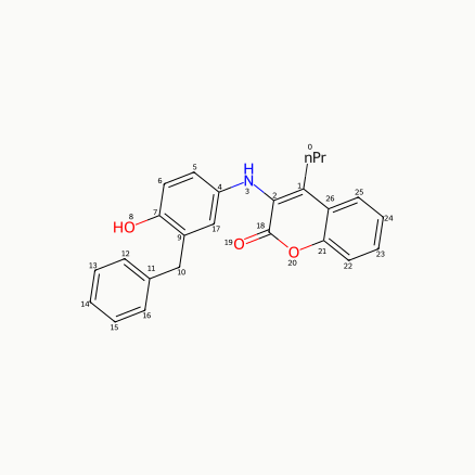 CCCc1c(Nc2ccc(O)c(Cc3ccccc3)c2)c(=O)oc2ccccc12